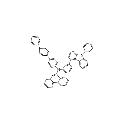 c1ccc(-c2ccc(-c3ccc(N(c4cccc(-c5cccc6c5c5ccccc5n6-c5ccccc5)c4)c4cc5ccccc5c5ccccc45)cc3)cc2)cc1